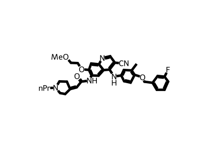 CCCN1CCC(=CC(=O)Nc2cc3c(Nc4ccc(OCc5cccc(F)c5)c(C)c4)c(C#N)cnc3cc2OCCOC)CC1